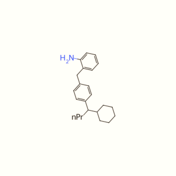 CCCC(c1ccc(Cc2ccccc2N)cc1)C1CCCCC1